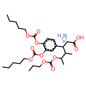 CCCCCOC(=O)Oc1ccc(C(C(C)C(C)OC(=O)OCCC)[C@H](N)C(=O)O)cc1OC(=O)OCCCCC